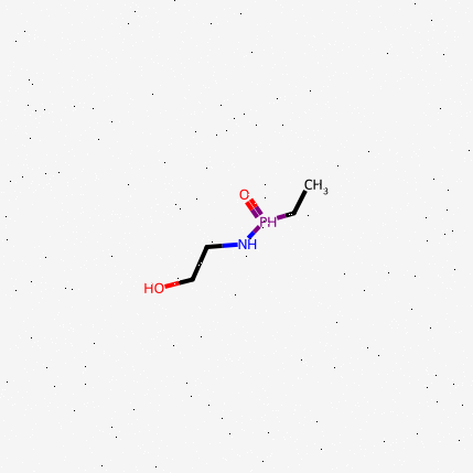 CC[PH](=O)NCCO